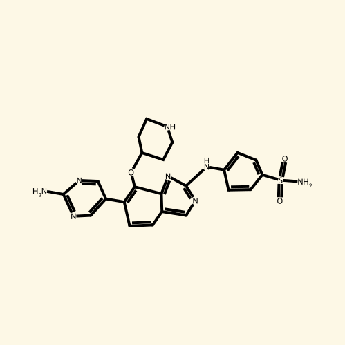 Nc1ncc(-c2ccc3cnc(Nc4ccc(S(N)(=O)=O)cc4)nc3c2OC2CCNCC2)cn1